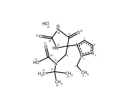 CCn1nccc1C1(CN(C(=O)O)C(C)(C)C)NC(=O)NC1=O.Cl